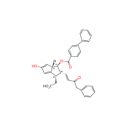 O=C(O)C[C@H]1C2=CC(O)=C[C@@H]2[C@@H](OC(=O)c2ccc(-c3ccccc3)cc2)[C@@H]1C=CC(=O)Cc1ccccc1